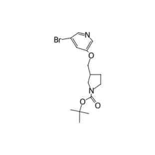 CC(C)(C)OC(=O)N1CCC(COc2cncc(Br)c2)C1